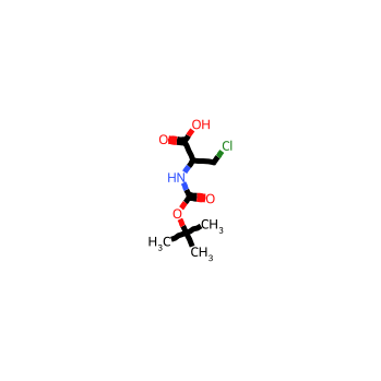 CC(C)(C)OC(=O)NC(CCl)C(=O)O